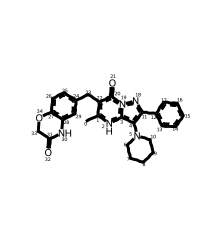 Cc1[nH]c2c(N3CCCCC3)c(-c3ccccc3)nn2c(=O)c1Cc1ccc2c(c1)NC(=O)CO2